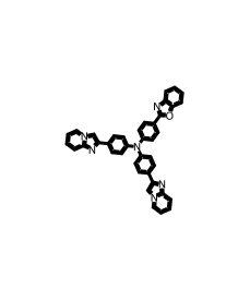 c1ccc2oc(-c3ccc(N(c4ccc(-c5cn6ccccc6n5)cc4)c4ccc(-c5cn6ccccc6n5)cc4)cc3)nc2c1